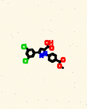 COC(=O)c1ccc(-n2nc(-c3cc(Cl)cc(Cl)c3)cc2C(=O)O)cc1